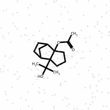 CC(=O)OC12CCCC1(C(C)(C)O)C1CCC2C1